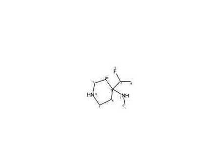 CNC1(C(C)F)CCNCC1